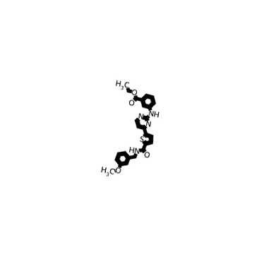 CCOC(=O)c1cccc(Nc2nccc(-c3ccc(C(=O)NCc4cccc(OC)c4)s3)n2)c1